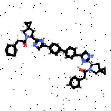 O=C([CH]c1ccccc1)N1CC2(CC2)CC1c1nc(-c2ccc(-c3ccc(-c4c[nH]c([C@@H]5CC6(CC6)CN5C(=O)[CH]c5ccccc5)n4)cc3)cc2)c[nH]1